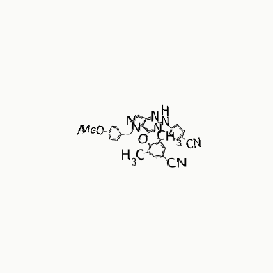 COc1ccc(Cn2ncc3nc(Nc4ccc(C#N)cc4)nc(Oc4c(C)cc(C#N)cc4C)c32)cc1